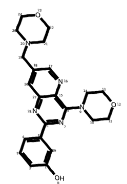 Oc1cccc(-c2nc(N3CCOCC3)c3ncc(CN4CCOCC4)cc3n2)c1